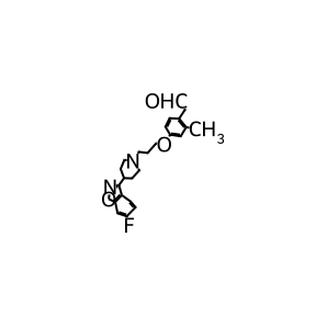 Cc1cc(OCCCN2CCC(c3noc4cc(F)ccc34)CC2)ccc1CC=O